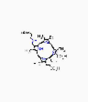 CCCCCCCCCCCCNCc1c(C)c2cc3nc(c(C)c4[nH]c(cc5nc(cc1[nH]2)C(C)=C5CC)c(C)c4C(=O)O)[C@@H](CCC(=O)O)[C@@H]3C